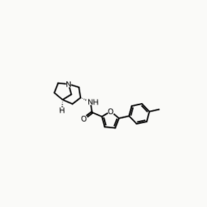 Cc1ccc(-c2ccc(C(=O)N[C@@H]3C[C@H]4CCN(C4)C3)o2)cc1